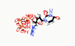 [N-]=[N+]=NC[C@]1(COP(=O)(O)OP(=O)(O)OP(=O)(O)O)OC(n2ccc(=O)[nH]c2=O)=C[C@@H]1O